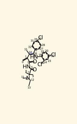 C=C(C(=O)NC(=O)C(C)(C)N(C)CC)/C(C)=C(\Nc1ccc(Cl)cc1Cl)c1ccc(Cl)cc1